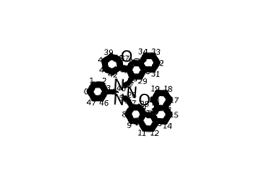 c1ccc(-c2nc(-c3ccc4ccc5ccc6cccc7c6c5c4c3O7)nc(-c3cc4ccccc4c4oc5ccccc5c34)n2)cc1